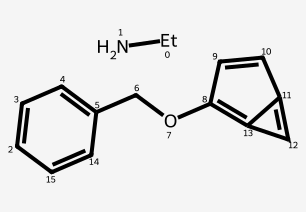 CCN.c1ccc(COc2ccc3cc2-3)cc1